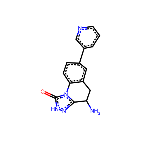 NC1Cc2cc(-c3cccnc3)ccc2-n2c1n[nH]c2=O